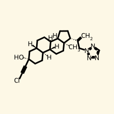 C=C(Cn1ncnn1)[C@H]1CC[C@H]2[C@@H]3CC[C@H]4C[C@](O)(C#CCl)CC[C@@H]4[C@H]3CC[C@]12C